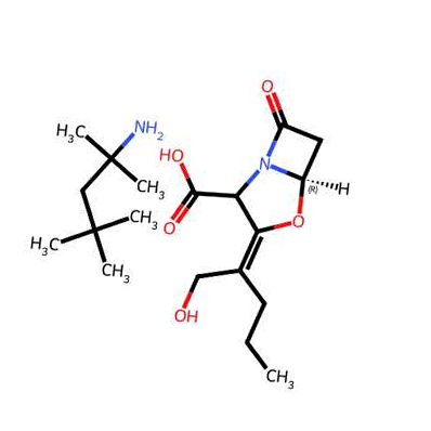 CC(C)(C)CC(C)(C)N.CCCC(CO)=C1O[C@@H]2CC(=O)N2C1C(=O)O